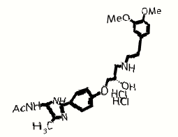 COc1ccc(CCNC[C@H](O)COc2ccc(-c3nc(C)c(NC(C)=O)[nH]3)cc2)cc1OC.Cl.Cl